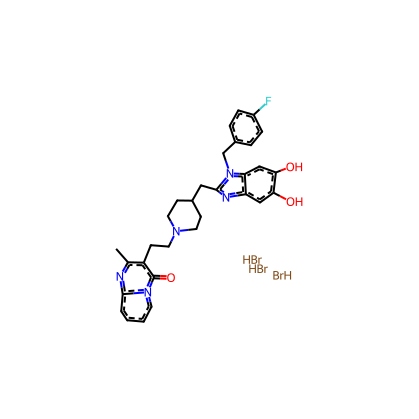 Br.Br.Br.Cc1nc2ccccn2c(=O)c1CCN1CCC(Cc2nc3cc(O)c(O)cc3n2Cc2ccc(F)cc2)CC1